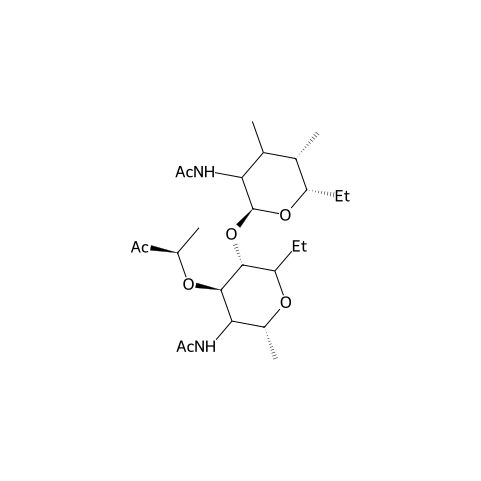 CCC1O[C@H](C)C(NC(C)=O)[C@@H](O[C@H](C)C(C)=O)[C@@H]1O[C@@H]1O[C@@H](CC)[C@@H](C)C(C)C1NC(C)=O